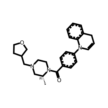 C[C@@H]1CN(CC2CCOC2)CCN1C(=O)c1ccc(N2C=CCc3ccccc32)cc1